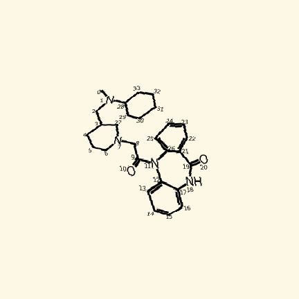 CN(CC1CCCN(CC(=O)N2c3ccccc3NC(=O)c3ccccc32)C1)C1CCCCC1